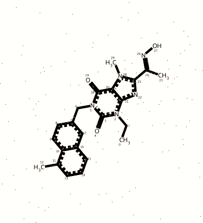 CCn1c(=O)n(Cc2ccc3c(C)cccc3c2)c(=O)c2c1nc(/C(C)=N/O)n2C